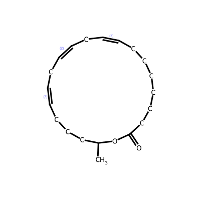 CC1CCC/C=C\C/C=C\C/C=C\CCCCCCC(=O)O1